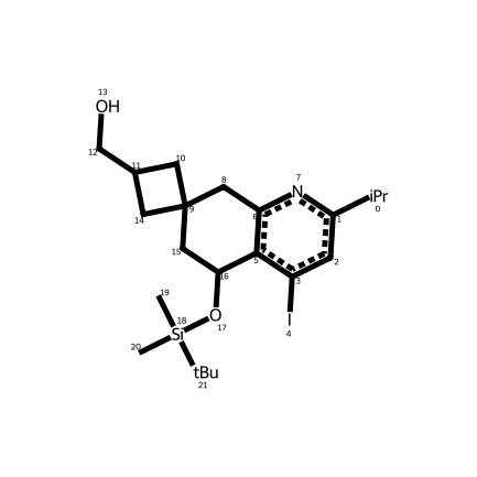 CC(C)c1cc(I)c2c(n1)CC1(CC(CO)C1)CC2O[Si](C)(C)C(C)(C)C